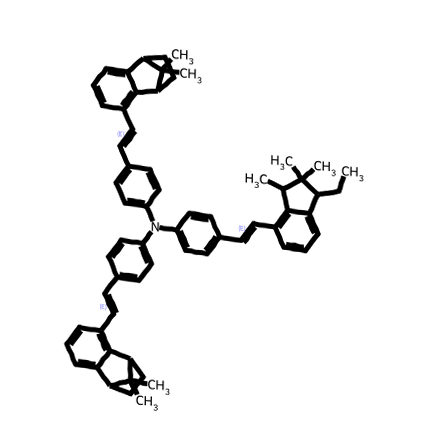 CCC1c2cccc(/C=C/c3ccc(N(c4ccc(/C=C/c5cccc6c5C5CCC6C5(C)C)cc4)c4ccc(/C=C/c5cccc6c5C5CCC6C5(C)C)cc4)cc3)c2C(C)C1(C)C